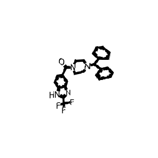 O=C(c1ccc2[nH]c(C(F)(F)F)nc2c1)N1CCN(C(c2ccccc2)c2ccccc2)CC1